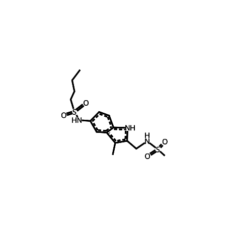 CCCCS(=O)(=O)Nc1ccc2[nH]c(CNS(C)(=O)=O)c(C)c2c1